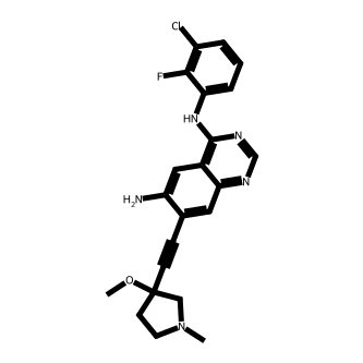 COC1(C#Cc2cc3ncnc(Nc4cccc(Cl)c4F)c3cc2N)CCN(C)C1